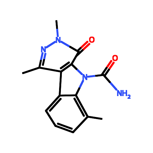 Cc1nn(C)c(=O)c2c1c1cccc(C)c1n2C(N)=O